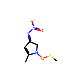 CSON1CC(=N[N+](=O)[O-])C=C1C